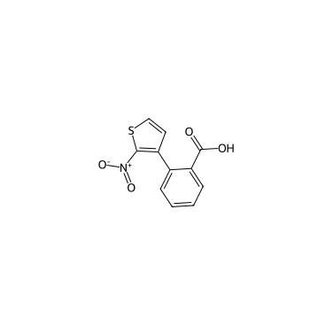 O=C(O)c1ccccc1-c1ccsc1[N+](=O)[O-]